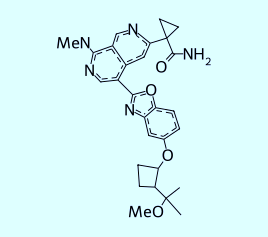 CNc1ncc(-c2nc3cc(OC4CCC4C(C)(C)OC)ccc3o2)c2cc(C3(C(N)=O)CC3)ncc12